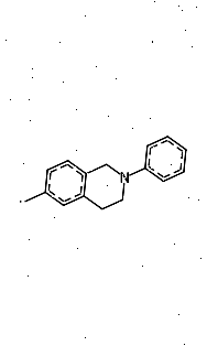 [CH2]c1ccc2c(c1)CCN(c1ccccc1)C2